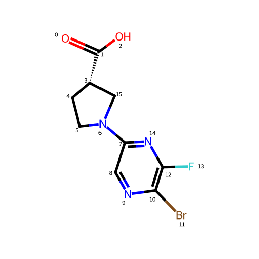 O=C(O)[C@H]1CCN(c2cnc(Br)c(F)n2)C1